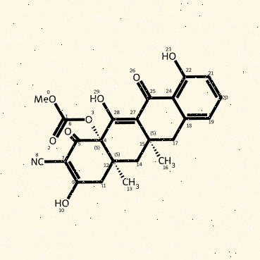 COC(=O)O[C@@]12C(=O)C(C#N)=C(O)C[C@]1(C)C[C@]1(C)Cc3cccc(O)c3C(=O)C1=C2O